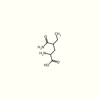 CCC(CC(N)C(=O)O)C(N)=O